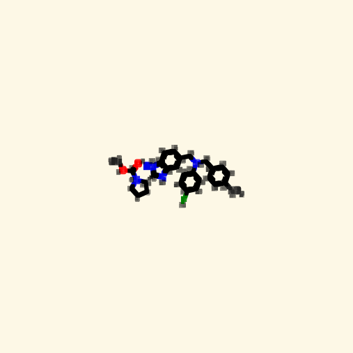 CC(C)(C)OC(=O)N1CCC[C@H]1c1nc2cc(CN(Cc3ccc([N+](=O)[O-])cc3)c3ccc(F)cc3)ccc2[nH]1